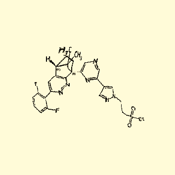 CCS(=O)(=O)CCn1cc(-c2cncc([C@]34CC[C@@H](c5cc(-c6c(F)cccc6F)nnc53)C4(C)C)n2)cn1